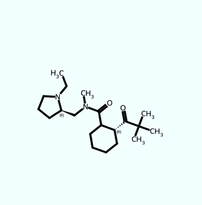 CCN1CCC[C@@H]1CN(C)C(=O)C1CCCC[C@H]1C(=O)C(C)(C)C